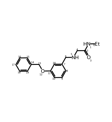 CCNC(=O)CNCc1cccc(OCc2ccccc2)c1